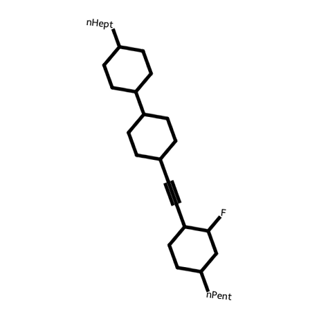 CCCCCCCC1CCC(C2CCC(C#CC3CCC(CCCCC)CC3F)CC2)CC1